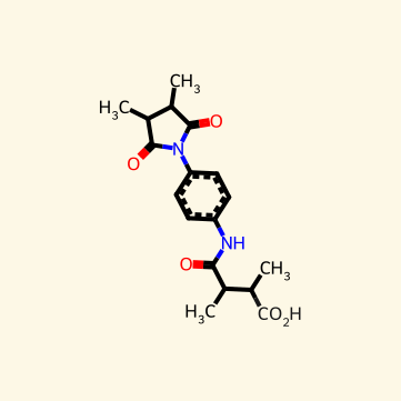 CC(C(=O)O)C(C)C(=O)Nc1ccc(N2C(=O)C(C)C(C)C2=O)cc1